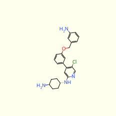 Nc1cccc(COc2cccc(-c3cc(N[C@H]4CC[C@H](N)CC4)ncc3Cl)c2)c1